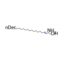 CCCCCCCCCCCCCCCCCCCCCCC/C=C/C(N)CO